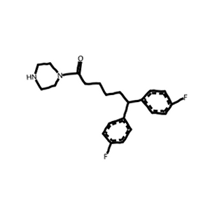 O=C(CCCCC(c1ccc(F)cc1)c1ccc(F)cc1)N1CCNCC1